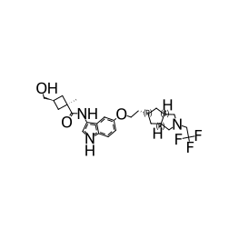 C[C@]1(C(=O)Nc2c[nH]c3ccc(OCC[C@@H]4C[C@@H]5CN(CC(F)(F)F)C[C@@H]5C4)cc23)C[C@@H](CO)C1